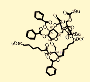 CCCCCCCCCCCCC/C=C/[C@@H](OC(=O)c1ccccc1)[C@H](CO[C@H]1O[C@H](COC2(COC(=O)C(C)(C)C)OC2=O)[C@H](OC2(COC(=O)C(C)(C)C)OC2=O)[C@H](OC(=O)c2ccccc2)[C@H]1OC(=O)c1ccccc1)NC(=O)CCCCCCCCCCCCCCC